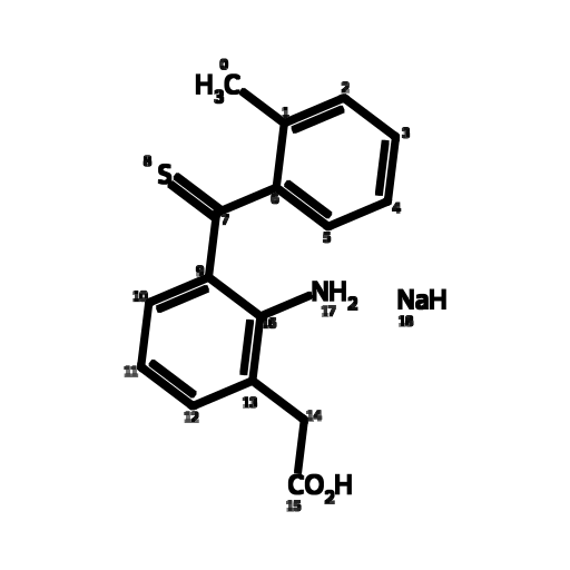 Cc1ccccc1C(=S)c1cccc(CC(=O)O)c1N.[NaH]